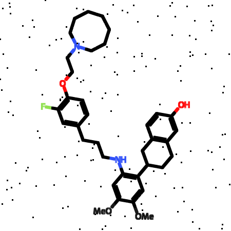 COc1cc(NCCCc2ccc(OCCN3CCCCCCC3)c(F)c2)c(C2CCc3cc(O)ccc3C2)cc1OC